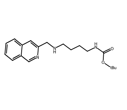 CC(C)(C)OC(=O)NCCCCNCc1cc2ccccc2cn1